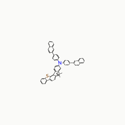 C[Si]1(C)c2cc(N(c3ccc(-c4ccc5ccccc5c4)cc3)c3ccc(-c4ccc5ccccc5c4)cc3)ccc2-c2c1ccc1c2sc2ccccc21